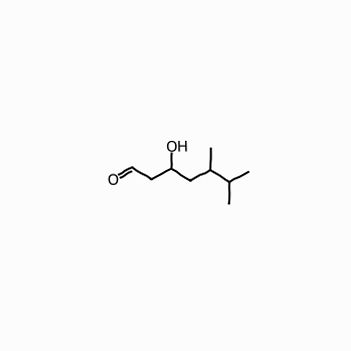 CC(C)C(C)CC(O)CC=O